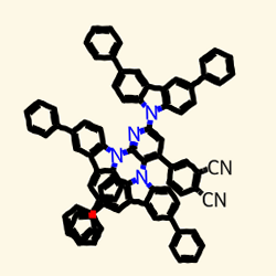 N#Cc1ccc(-c2cc(-n3c4ccc(-c5ccccc5)cc4c4cc(-c5ccccc5)ccc43)nc(-n3c4ccc(-c5ccccc5)cc4c4cc(-c5ccccc5)ccc43)c2-n2c3ccc(-c4ccccc4)cc3c3cc(-c4ccccc4)ccc32)cc1C#N